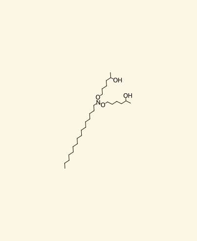 CCCCCCCCCCCCCCCCN(OCCCCC(C)O)OCCCCC(C)O